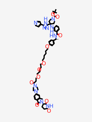 C[C@@H](NC(=O)c1cccc(NC2(c3nnc(-c4ccncc4)[nH]3)CCN(C(=O)OC(C)(C)C)CC2)c1)c1ccc(OCCCCCCOCCOCCOCCC(=O)N2CCN(c3ccc4c(c3)CN(C3CCC(=O)NC3=O)C4=O)CC2)cc1